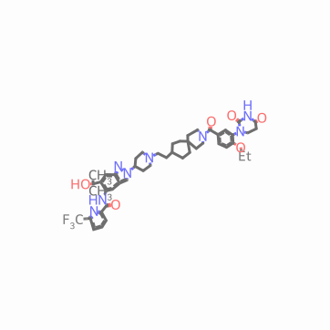 CCOc1ccc(C(=O)N2CCC3(CCC(CCN4CCC(n5cc6cc(NC(=O)c7cccc(C(F)(F)F)n7)c(C(C)(C)O)cc6n5)CC4)CC3)CC2)cc1N1CCC(=O)NC1=O